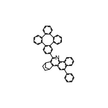 c1ccc(-c2cc3c4c(c(-c5ccc6c(c5)-c5ccccc5-c5ccccc5-c5ccccc5-6)nc3c3ccccc23)C2CCC4C2)cc1